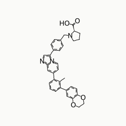 Cc1c(-c2ccc3c(c2)OCCO3)cccc1-c1ccn2c(-c3ccc(CN4CCC[C@@H]4C(=O)O)cc3)cnc2c1